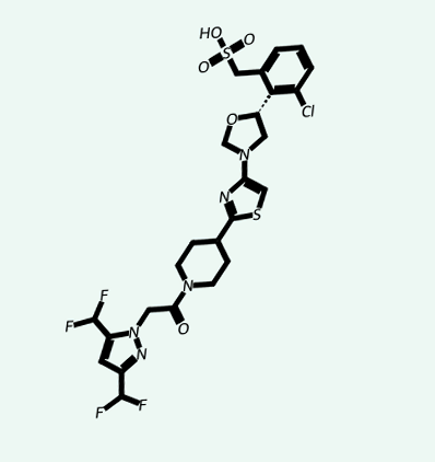 O=C(Cn1nc(C(F)F)cc1C(F)F)N1CCC(c2nc(N3CO[C@H](c4c(Cl)cccc4CS(=O)(=O)O)C3)cs2)CC1